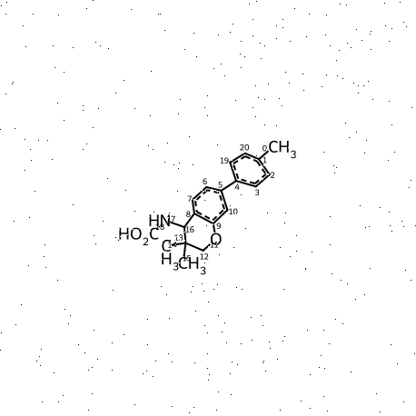 Cc1ccc(-c2ccc3c(c2)OCC(C)(C)C3NC(=O)O)cc1